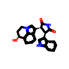 O=C1NC(=O)[C@@H](c2cn3c4c(cccc24)[C@H](O)CC3)[C@@H]1c1c[nH]c2ccccc12